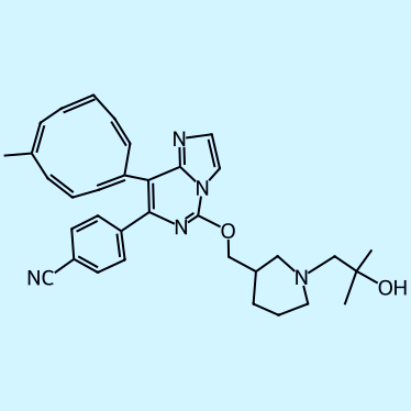 Cc1cccccc(-c2c(-c3ccc(C#N)cc3)nc(OCC3CCCN(CC(C)(C)O)C3)n3ccnc23)ccc1